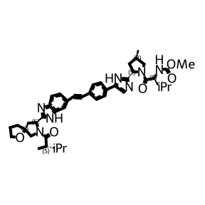 COC(=O)N[C@H](C(=O)N1C[C@H](C)C[C@H]1c1ncc(-c2ccc(C#Cc3ccc4nc([C@@H]5C[C@@]6(CCCO6)CN5C(=O)[C@@H](C)C(C)C)[nH]c4c3)cc2)[nH]1)C(C)C